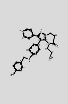 CC(C)c1ccc(COc2ccc(-c3c(-c4ccncc4)nn4c3N(CCO)C(=O)CC4)cc2)cc1